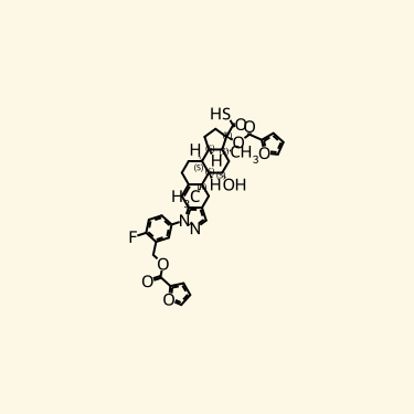 C[C@]12Cc3cnn(-c4ccc(F)c(COC(=O)c5ccco5)c4)c3C=C1CC[C@@H]1[C@@H]2[C@@H](O)C[C@@]2(C)[C@H]1CC[C@]2(OC(=O)c1ccco1)C(=O)S